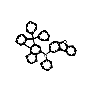 c1ccc(N(c2ccc3oc4ccccc4c3c2)c2cc3c(c4ccccc24)-c2ccccc2C3(c2ccccc2)c2ccccc2)cc1